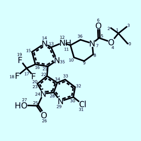 CC(C)(C)OC(=O)N1CCCC(Nc2ncc(C(F)(F)F)c(-c3cn(C(=O)O)c4nc(Cl)ccc34)n2)C1